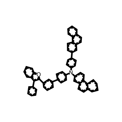 c1ccc(-c2c(-c3cccc(-c4ccc(N(c5ccc(-c6ccc7c(ccc8ccccc87)c6)cc5)c5ccc6c(ccc7ccccc76)c5)cc4)c3)oc3ccccc23)cc1